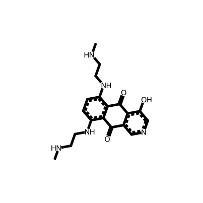 CNCCNc1ccc(NCCNC)c2c1C(=O)c1cncc(O)c1C2=O